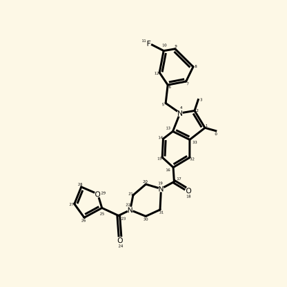 Cc1c(C)n(Cc2cccc(F)c2)c2ccc(C(=O)N3CCN(C(=O)c4ccco4)CC3)cc12